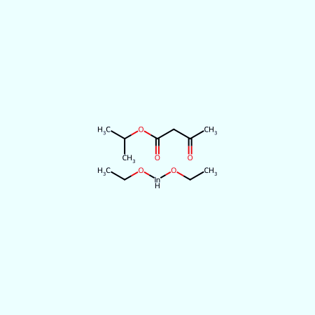 CC(=O)CC(=O)OC(C)C.CC[O][InH][O]CC